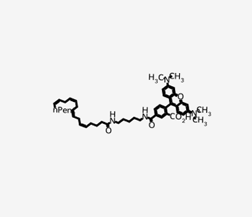 CCCCC/C=C\C/C=C\C/C=C\C/C=C\CCCC(=O)NCCCCCNC(=O)c1ccc(-c2c3ccc(=[N+](C)C)cc-3oc3cc(N(C)C)ccc23)c(C(=O)O)c1